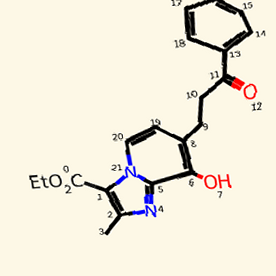 CCOC(=O)c1c(C)nc2c(O)c(CCC(=O)c3ccccc3)ccn12